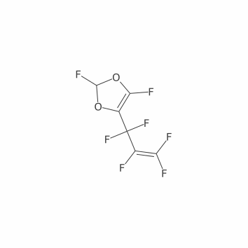 FC(F)=C(F)C(F)(F)C1=C(F)OC(F)O1